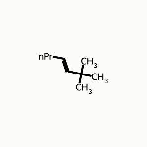 [CH2]CC/C=C/C(C)(C)C